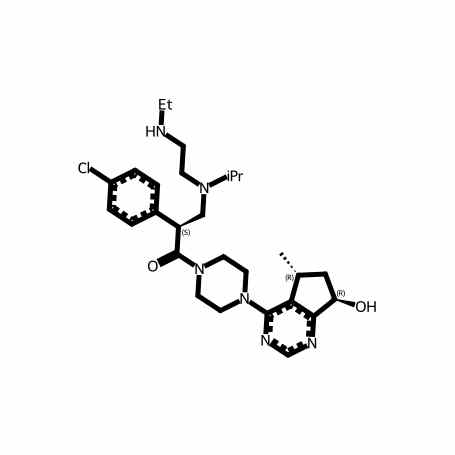 CCNCCN(C[C@@H](C(=O)N1CCN(c2ncnc3c2[C@H](C)C[C@H]3O)CC1)c1ccc(Cl)cc1)C(C)C